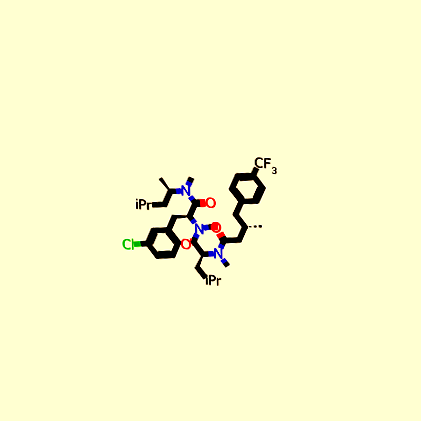 CC(C)C[C@@H](C)N(C)C(=O)[C@H](Cc1cccc(Cl)c1)N(C)C(=O)[C@H](CC(C)C)N(C)C(=O)C[C@@H](C)Cc1ccc(C(F)(F)F)cc1